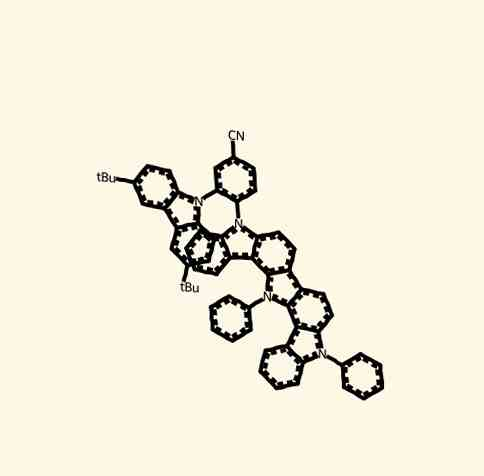 CC(C)(C)c1ccc2c(c1)c1cc(C(C)(C)C)ccc1n2-c1cc(C#N)ccc1-n1c2ccccc2c2c1ccc1c3ccc4c(c5ccccc5n4-c4ccccc4)c3n(-c3ccccc3)c12